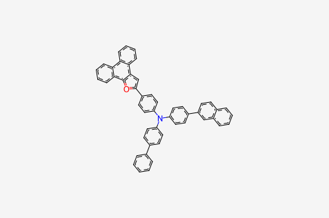 c1ccc(-c2ccc(N(c3ccc(-c4ccc5ccccc5c4)cc3)c3ccc(-c4cc5c6ccccc6c6ccccc6c5o4)cc3)cc2)cc1